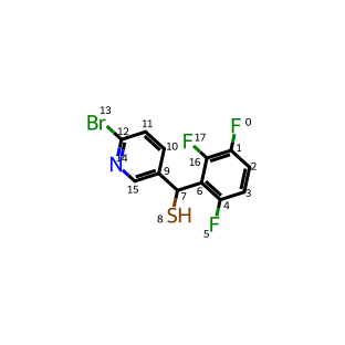 Fc1ccc(F)c(C(S)c2ccc(Br)nc2)c1F